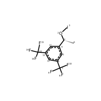 C[C@@H](OI)c1cc(C(F)(F)F)cc(C(F)(F)F)c1